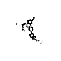 CCOC(=O)N1CC2(CC[C@@H](N3CCN(c4nc(F)ccc4N(N)/C=C(/C)N)CC3)C2)C1